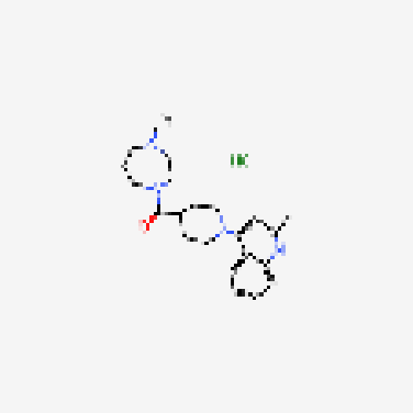 Cc1cc(N2CCC(C(=O)N3CCCN(C(C)C)CC3)CC2)c2ccccc2n1.Cl